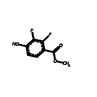 COC(=O)c1ccc(O)c(F)c1F